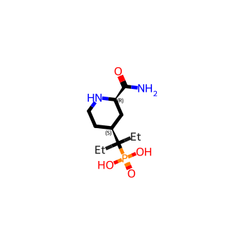 CCC(CC)([C@H]1CCN[C@@H](C(N)=O)C1)P(=O)(O)O